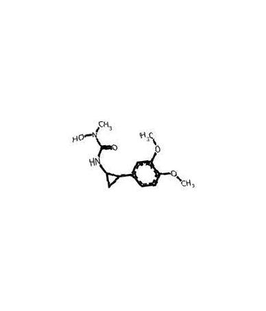 COc1ccc(C2CC2NC(=O)N(C)O)cc1OC